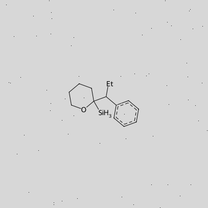 CCC(c1ccccc1)C1([SiH3])CCCCO1